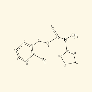 CN(C(=O)OCc1ccccc1Br)C1CCCC1